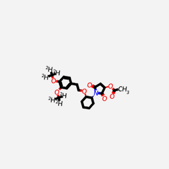 [2H]C([2H])([2H])Oc1ccc(CCO[C@@H]2CCCC[C@H]2N2C(=O)C[C@@H](OC(C)=O)C2=O)cc1OC([2H])([2H])[2H]